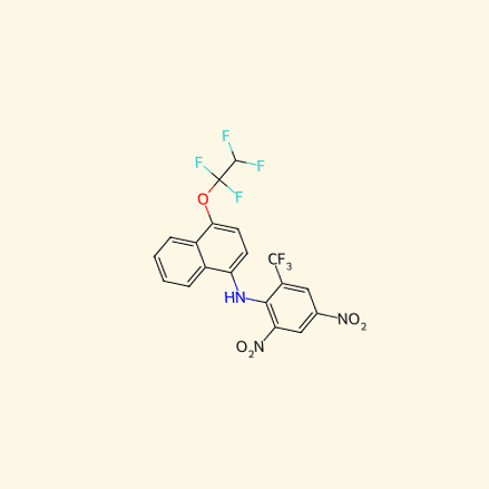 O=[N+]([O-])c1cc([N+](=O)[O-])c(Nc2ccc(OC(F)(F)C(F)F)c3ccccc23)c(C(F)(F)F)c1